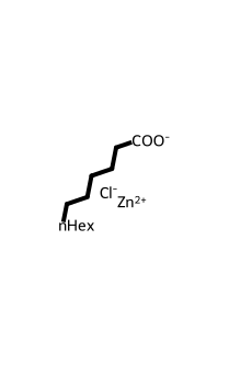 CCCCCCCCCCCC(=O)[O-].[Cl-].[Zn+2]